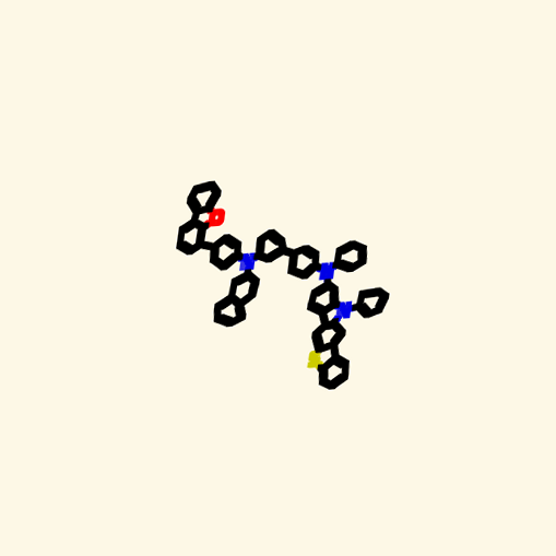 c1ccc(N(c2ccc(-c3cccc(N(c4ccc(-c5cccc6c5oc5ccccc56)cc4)c4ccc5ccccc5c4)c3)cc2)c2ccc3c4cc5sc6ccccc6c5cc4n(-c4ccccc4)c3c2)cc1